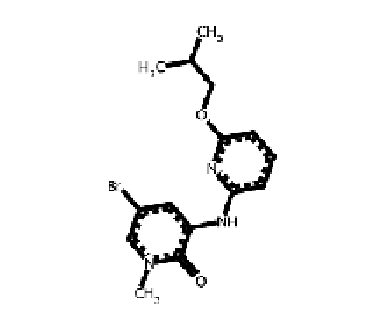 CC(C)COc1cccc(Nc2cc(Br)cn(C)c2=O)n1